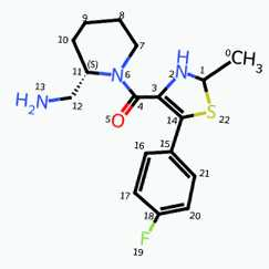 CC1NC(C(=O)N2CCCC[C@H]2CN)=C(c2ccc(F)cc2)S1